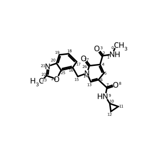 CNC(=O)c1cc(C(=O)NC2CC2)cn(Cc2cccc3nc(C)oc23)c1=O